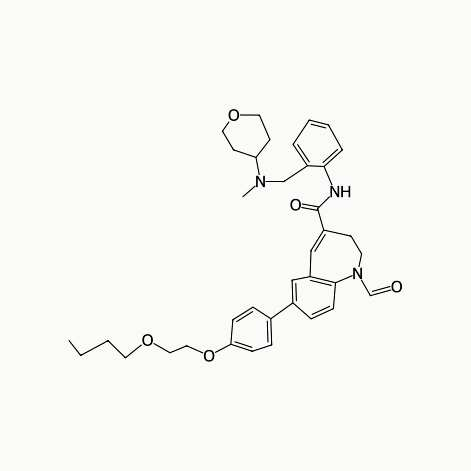 CCCCOCCOc1ccc(-c2ccc3c(c2)C=C(C(=O)Nc2ccccc2CN(C)C2CCOCC2)CCN3C=O)cc1